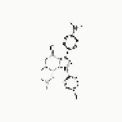 CN1CCC2CC(=O)c3c(-c4ccc(N(C)C)cc4)nn(-c4ccc(I)cc4)c3C2C1